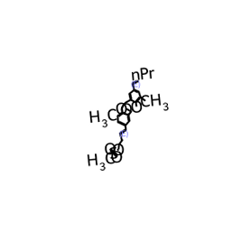 CCC/C=C/c1cc(C)c2c(c1)C1Oc3c(C)cc(/C=C/CCOS(C)(=O)=O)cc3C(O2)O1